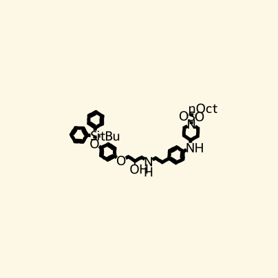 CCCCCCCCS(=O)(=O)N1CCC(Nc2ccc(CCNC[C@H](O)COc3ccc(O[Si](c4ccccc4)(c4ccccc4)C(C)(C)C)cc3)cc2)CC1